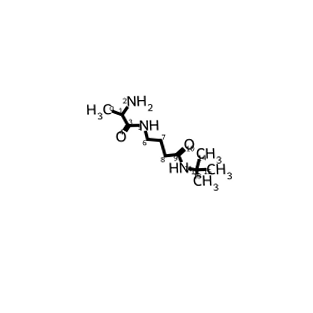 CC(N)C(=O)NCCCC(=O)NC(C)(C)C